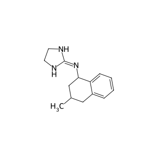 CC1Cc2ccccc2C(N=C2NCCN2)C1